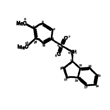 COc1ccc(S(=O)(=O)N[C@@H]2CCc3ccccc32)cc1OC